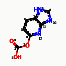 O=C(O)Oc1ccc2[nH]cnc2n1